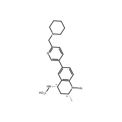 CC(=O)N1c2ccc(-c3ccc(CN4CCCCC4)nc3)cc2[C@@H](NC(=O)O)C[C@H]1C